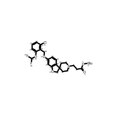 CC(C)(C)OC(=O)CCN1CCC2(CC1)COc1cc(OCc3c(Cl)cccc3OC(F)F)ccc12